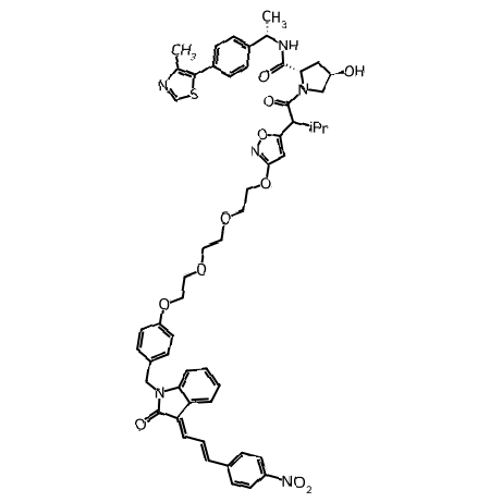 Cc1ncsc1-c1ccc([C@H](C)NC(=O)[C@@H]2C[C@@H](O)CN2C(=O)C(c2cc(OCCOCCOCCOc3ccc(CN4C(=O)/C(=C/C=C/c5ccc([N+](=O)[O-])cc5)c5ccccc54)cc3)no2)C(C)C)cc1